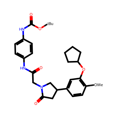 COc1ccc(C2CC(=O)N(CC(=O)Nc3ccc(NC(=O)OC(C)(C)C)cc3)C2)cc1OC1CCCC1